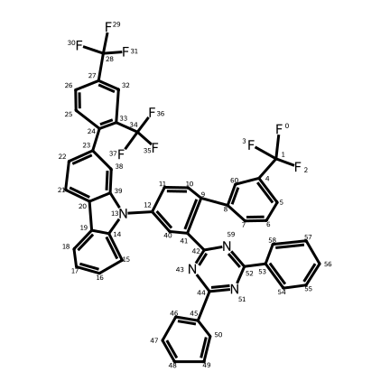 FC(F)(F)c1cccc(-c2ccc(-n3c4ccccc4c4ccc(-c5ccc(C(F)(F)F)cc5C(F)(F)F)cc43)cc2-c2nc(-c3ccccc3)nc(-c3ccccc3)n2)c1